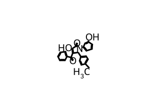 CCc1ccc(C2C(C(=O)c3ccccc3)=C(O)C(=O)N2c2cccc(O)c2)cc1